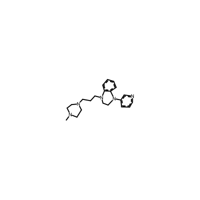 CN1CCN(CCCN2CCN(c3cccnc3)c3ccccc32)CC1